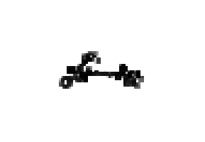 C=C(C)C(=O)OCCCCCCSc1ncc(-c2ccccc2)c(=O)n1CCOC(F)(F)F